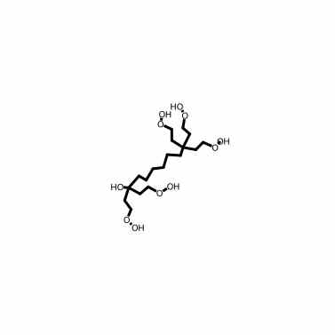 OOCCC(O)(CCCCCCC(CCOO)(CCOO)CCOO)CCOO